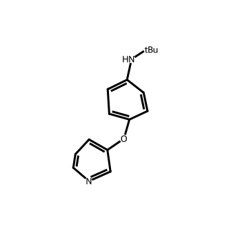 CC(C)(C)Nc1ccc(Oc2cccnc2)cc1